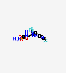 COc1cc(S(N)(=O)=O)ccc1NCC#Cc1cc2c(NC3CCC(C)(N4CCC(C(F)(F)F)CC4)CC3)cccc2n1CC(F)(F)F